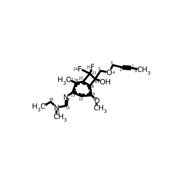 CC#CCOCC1(O)c2c(OC)cc(/N=C/N(C)CC)c(C)c2C1(F)F